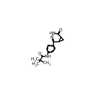 CC(C)(C)C(=O)Nc1ccc(C2=NNC(=O)C3CC23)cc1